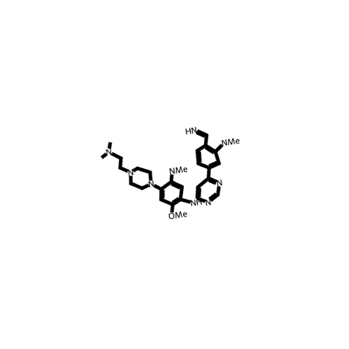 CNc1cc(-c2cc(Nc3cc(NC)c(N4CCN(CCN(C)C)CC4)cc3OC)ncn2)ccc1C=N